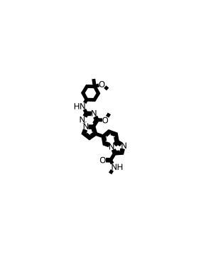 CNC(=O)c1cnc2ccc(-c3ccn4nc(NC5CCC(C)(OC)CC5)nc(OC)c34)cn12